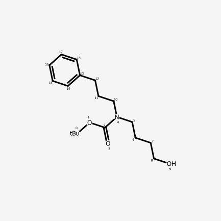 CC(C)(C)OC(=O)N(CCCCO)CCCc1ccccc1